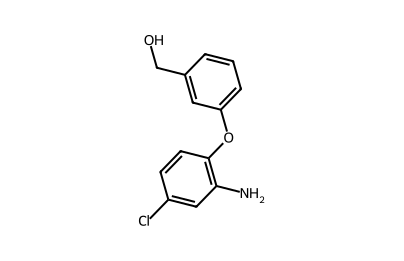 Nc1cc(Cl)ccc1Oc1cccc(CO)c1